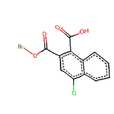 O=C(OBr)c1cc(Cl)c2ccccc2c1C(=O)O